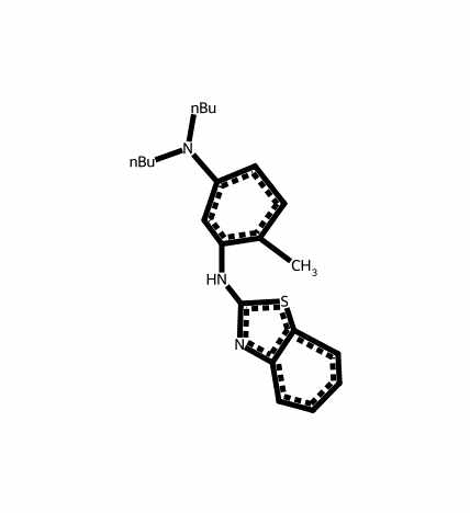 CCCCN(CCCC)c1ccc(C)c(Nc2nc3ccccc3s2)c1